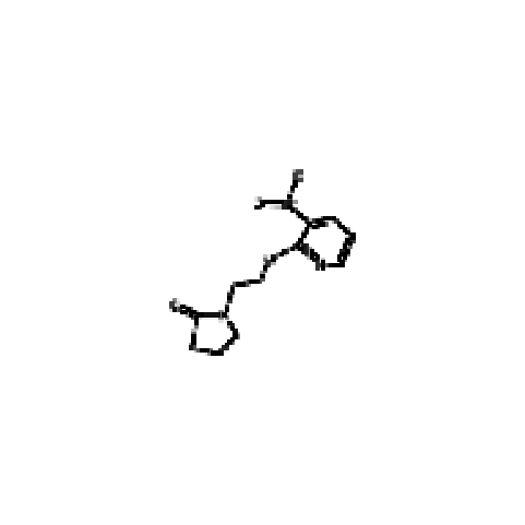 O=C1CCCN1CCOc1ncccc1[N+](=O)[O-]